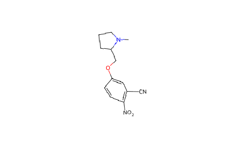 CN1CCCC1COc1ccc([N+](=O)[O-])c(C#N)c1